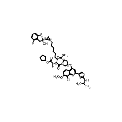 COc1ccc2c(O[C@H]3C[C@@H](C(N)=O)N(C(=O)[C@H](CCCCCCC[C@@H]4C[C@@H]4P(=O)(O)Cc4c(F)cccc4F)NC(=O)OC4CCCC4)C3)cc(-c3csc(NC(C)C)n3)nc2c1Cl